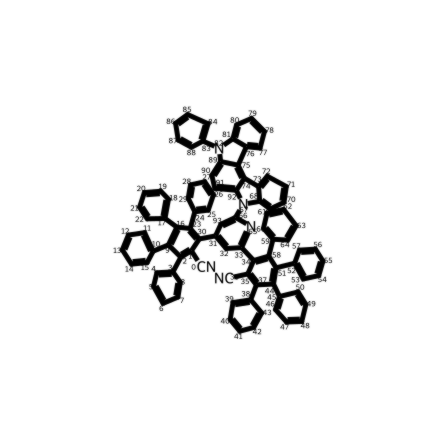 N#Cc1c(-c2ccccc2)c(-c2ccccc2)c(-c2ccccc2)c(-c2ccccc2)c1-c1cc(-c2c(C#N)c(-c3ccccc3)c(-c3ccccc3)c(-c3ccccc3)c2-c2ccccc2)nc(-n2c3ccccc3c3c4c5ccccc5n(-c5ccccc5)c4ccc32)c1